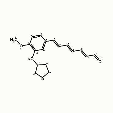 COc1ccc(C=CC=CC=CC=O)cc1OC1CCCC1